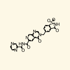 O=C(NC(=O)c1cc2c(=O)n(Cc3ccc4c(c3)C(=O)NS4(=O)=O)cnc2cn1)c1cnccn1